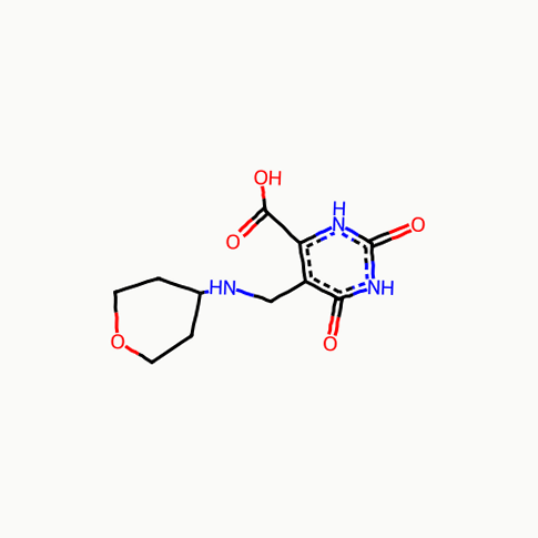 O=C(O)c1[nH]c(=O)[nH]c(=O)c1CNC1CCOCC1